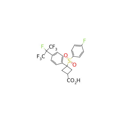 O=C(O)C1CC(c2ccc(C(F)(C(F)(F)F)C(F)(F)F)cc2)(S(=O)(=O)c2ccc(F)cc2)C1